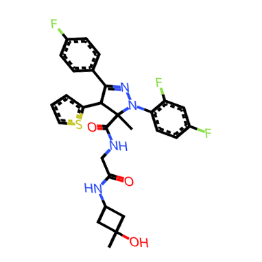 CC1(O)CC(NC(=O)CNC(=O)C2(C)C(c3cccs3)C(c3ccc(F)cc3)=NN2c2ccc(F)cc2F)C1